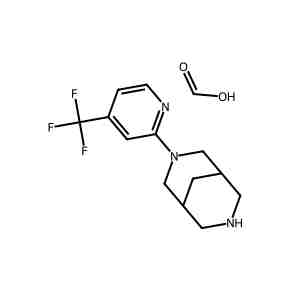 FC(F)(F)c1ccnc(N2CC3CNCC(C3)C2)c1.O=CO